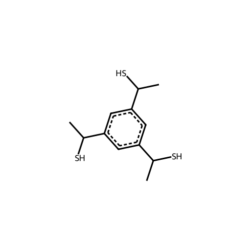 CC(S)c1cc(C(C)S)cc(C(C)S)c1